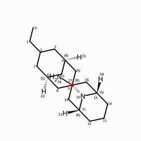 CCC1C[C@@H]2C[C@H](C1)C[C@@H](N1[C@@H]3CCC[C@H]1CC(N)C3)C2